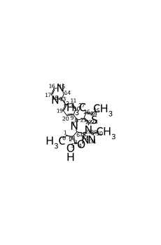 CC[C@H](C(=O)O)C1N=C(c2ccc(-c3cnccn3)cc2)c2c(sc(C)c2C)-n2c(C)nnc21